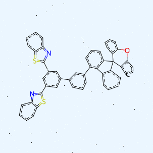 c1cc(-c2cc(-c3nc4ccccc4s3)cc(-c3nc4ccccc4s3)c2)cc(-c2cccc3c2-c2ccccc2C32c3ccccc3Oc3ccccc32)c1